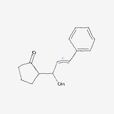 O=C1CCCC1C(O)/C=C/c1ccccc1